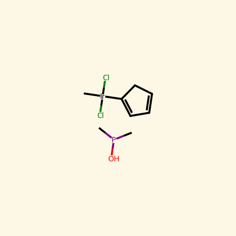 CP(C)O.[CH3][Ir]([Cl])([Cl])[C]1=CC=CC1